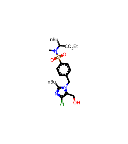 CCCCc1nc(Cl)c(CO)n1Cc1ccc(S(=O)(=O)N(C)C(CCCC)C(=O)OCC)cc1